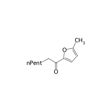 CCCCCCC(=O)c1ccc(C)o1